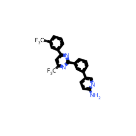 Nc1ccc(-c2cccc(-c3nc(-c4cccc(C(F)(F)F)c4)cc(C(F)(F)F)n3)c2)cn1